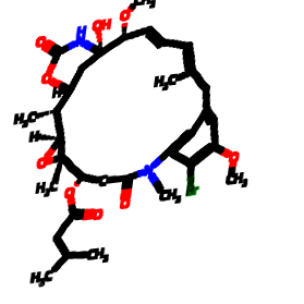 COc1cc2cc(c1Br)N(C)C(=O)C[C@H](OC(=O)CC(C)C)[C@]1(C)O[C@H]1[C@H](C)[C@@H]1C[C@@](O)(NC(=O)O1)[C@H](OC)/C=C/C=C(\C)C2